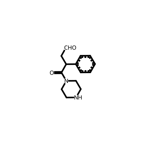 O=CCC(C(=O)N1CCNCC1)c1ccccc1